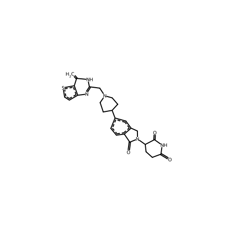 C=C1NC(CN2CCC(c3ccc4c(c3)CN(C3CCC(=O)NC3=O)C4=O)CC2)=Nc2ccsc21